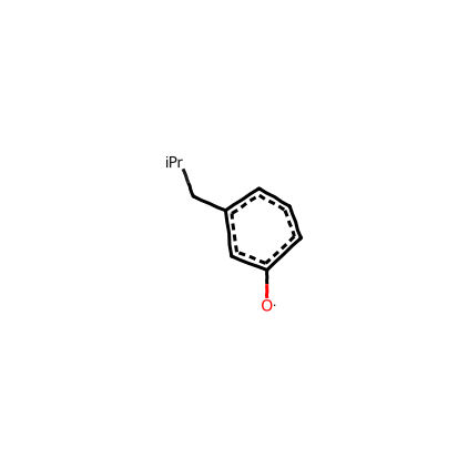 CC(C)Cc1cccc([O])c1